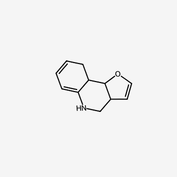 C1=CCC2C(=C1)NCC1C=COC12